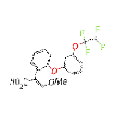 CO/C=C(/C(=O)O)c1ccccc1Oc1cccc(OC(F)(F)C(F)F)c1